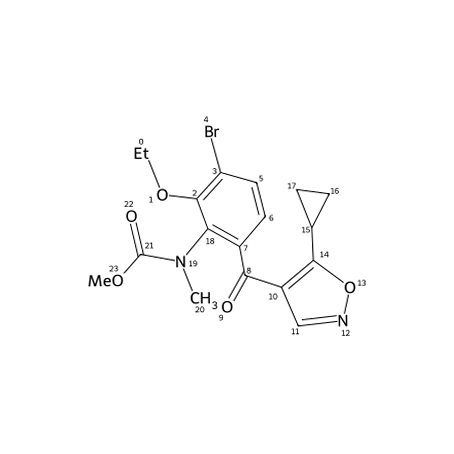 CCOc1c(Br)ccc(C(=O)c2cnoc2C2CC2)c1N(C)C(=O)OC